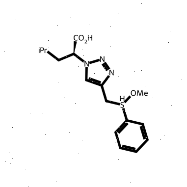 CO[SH](Cc1cn([C@@H](CC(C)C)C(=O)O)nn1)c1ccccc1